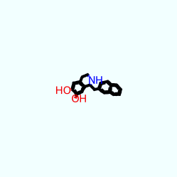 Oc1cc2c(cc1O)C(Cc1ccc3ccccc3c1)NCC2